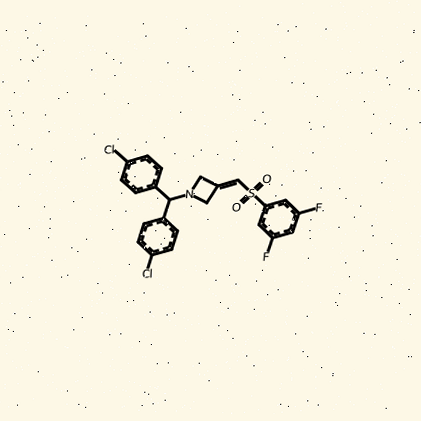 O=S(=O)(C=C1CN(C(c2ccc(Cl)cc2)c2ccc(Cl)cc2)C1)c1cc(F)cc(F)c1